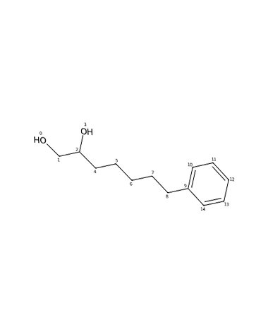 OCC(O)CCCCCc1ccccc1